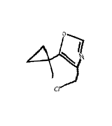 CC1(c2ocnc2CCl)CC1